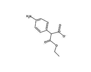 CCOC(=O)C(c1ccc(N)cc1)[N+](=O)[O-]